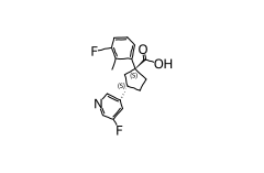 Cc1c(F)cccc1[C@]1(C(=O)O)CC[C@H](c2cncc(F)c2)C1